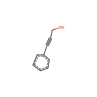 O[CH]C#Cc1ccccc1